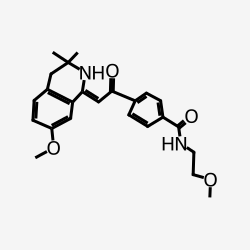 COCCNC(=O)c1ccc(C(=O)C=C2NC(C)(C)Cc3ccc(OC)cc32)cc1